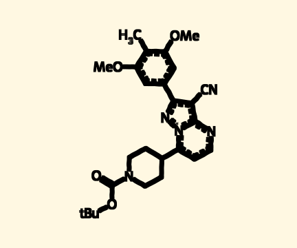 COc1cc(-c2nn3c(C4CCN(C(=O)OC(C)(C)C)CC4)ccnc3c2C#N)cc(OC)c1C